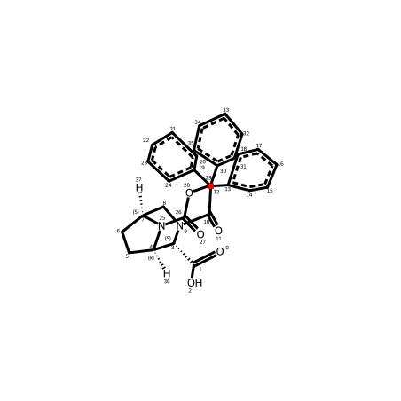 O=C(O)[C@@H]1[C@H]2CC[C@@H](CN1C(=O)C(c1ccccc1)c1ccccc1)N2C(=O)OCc1ccccc1